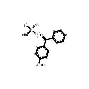 CCCC[N+](CCCC)(CCCC)CCCC.O=C([O-])c1ccc(C(=O)c2ccccc2)cc1